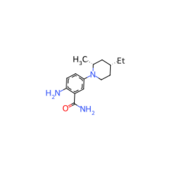 CC[C@@H]1CCN(c2ccc(N)c(C(N)=O)c2)[C@H](C)C1